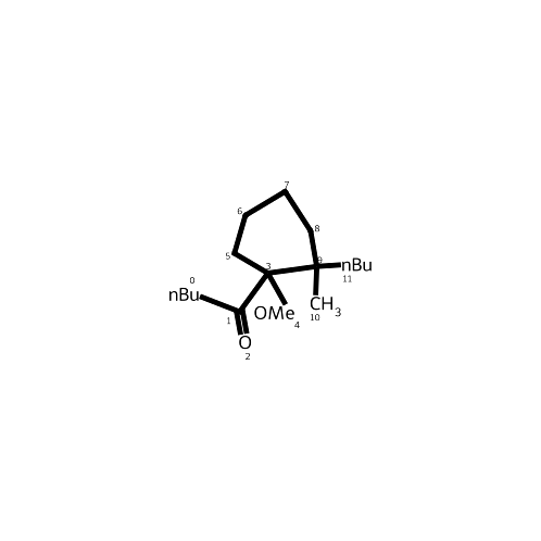 CCCCC(=O)C1(OC)CCCCC1(C)CCCC